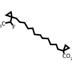 CC(F)C1(CCCCCCCCCCCCC2(C(=O)O)CC2)CC1